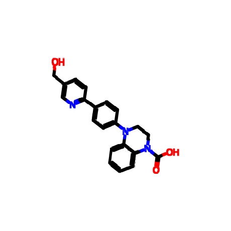 O=C(O)N1CCN(c2ccc(-c3ccc(CO)cn3)cc2)c2ccccc21